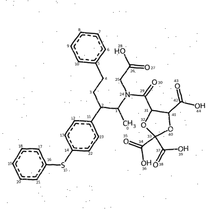 CC(C(CCc1ccccc1)c1ccc(Sc2ccccc2)cc1)N(CC(=O)O)C(=O)C1OC(C(=O)O)(C(=O)O)OC1C(=O)O